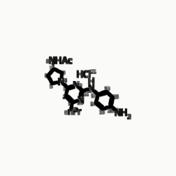 CCCc1cc(N2CC[C@H](NC(C)=O)C2)nc(Nc2ccc(N)cc2)n1.Cl